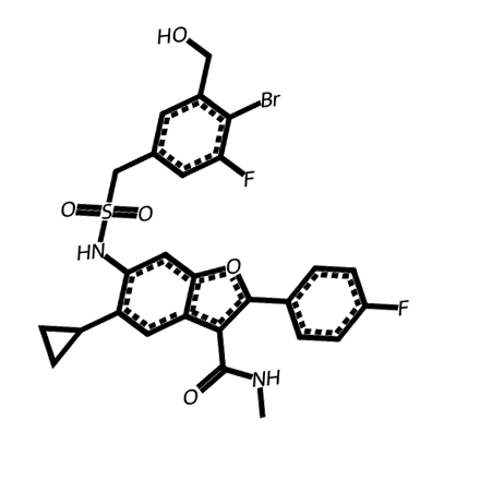 CNC(=O)c1c(-c2ccc(F)cc2)oc2cc(NS(=O)(=O)Cc3cc(F)c(Br)c(CO)c3)c(C3CC3)cc12